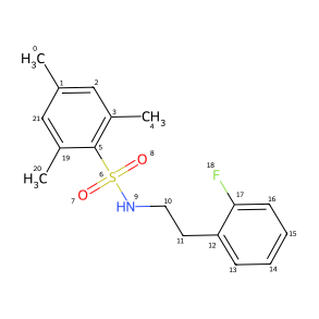 Cc1cc(C)c(S(=O)(=O)NCCc2ccccc2F)c(C)c1